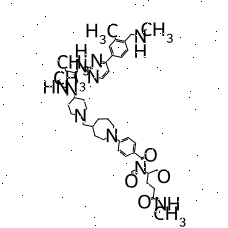 CC/C(=C\N(NC)C1CCN(CC2CCCN(c3ccc(C(=O)N(C=O)C(C=O)CCC(=O)NC)cc3)CC2)CC1)Nc1nccc(-c2ccc(CNC)c(C)c2)n1